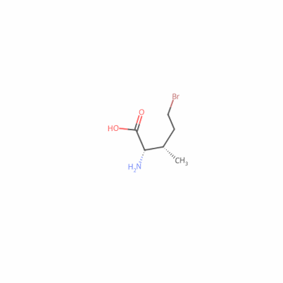 C[C@@H](CCBr)[C@H](N)C(=O)O